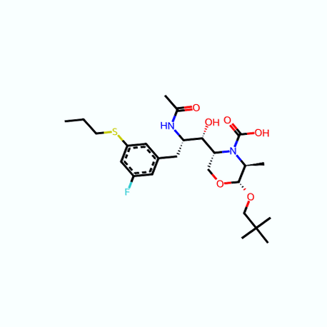 CCCSc1cc(F)cc(C[C@H](NC(C)=O)[C@H](O)[C@H]2CO[C@@H](OCC(C)(C)C)[C@H](C)N2C(=O)O)c1